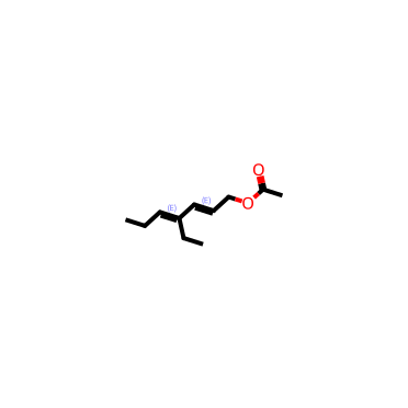 CC/C=C(/C=C/COC(C)=O)CC